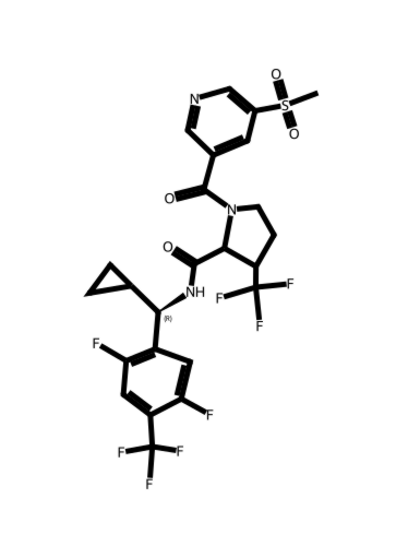 CS(=O)(=O)c1cncc(C(=O)N2CCC(C(F)(F)F)C2C(=O)N[C@@H](c2cc(F)c(C(F)(F)F)cc2F)C2CC2)c1